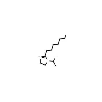 CCCCCCCCCCCCCCC1=NCCN1C(C)O